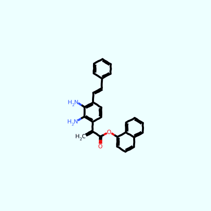 C=C(C(=O)Oc1cccc2ccccc12)c1ccc(C=Cc2ccccc2)c(N)c1N